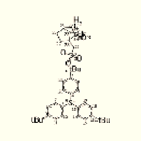 CC(C)(C)c1ccc([S+](c2ccc(C(C)(C)C)cc2)c2ccc(C(C)(C)C)cc2)cc1.CC1(C)C2CCC1(CS(=O)(=O)[O-])C(=O)C2